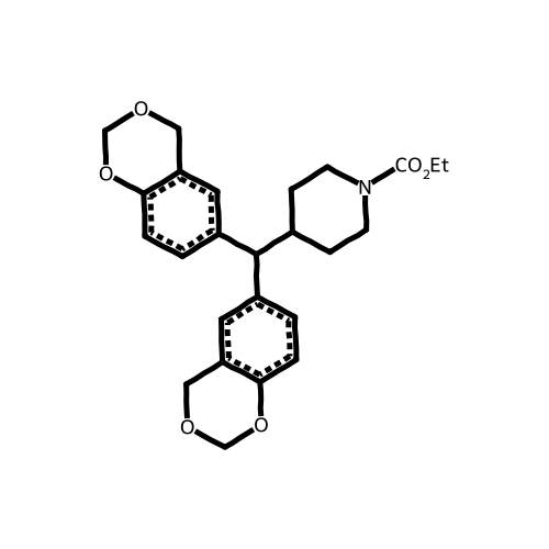 CCOC(=O)N1CCC(C(c2ccc3c(c2)COCO3)c2ccc3c(c2)COCO3)CC1